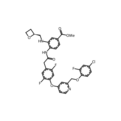 COC(=O)c1ccc(NC(=O)Cc2cc(F)c(Oc3ccnc(COc4ccc(Cl)cc4F)c3)cc2F)c(NC[C@@H]2CCO2)c1